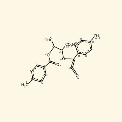 Cc1ccc(C(=O)OC(C=O)C(OC(=C=O)c2ccc(C)cc2)C(=O)O)cc1